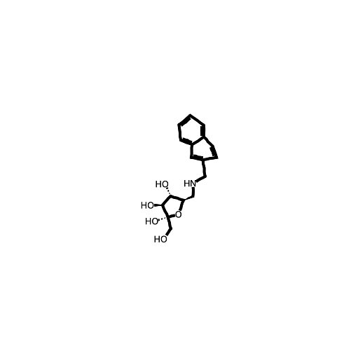 OC[C@]1(O)O[C@H](CNCc2ccc3ccccc3c2)[C@@H](O)[C@@H]1O